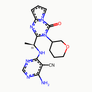 C[C@H](Nc1ncnc(N)c1C#N)c1nc2cccn2c(=O)n1C1CCCOC1